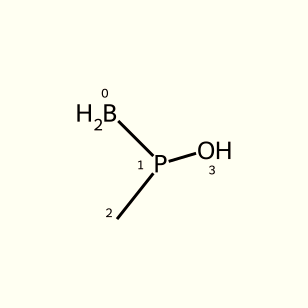 BP(C)O